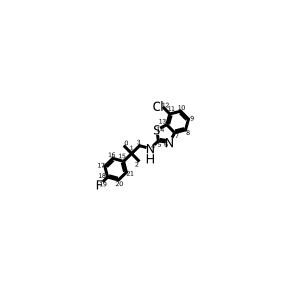 CC(C)(CNc1nc2cccc(Cl)c2s1)c1ccc(F)cc1